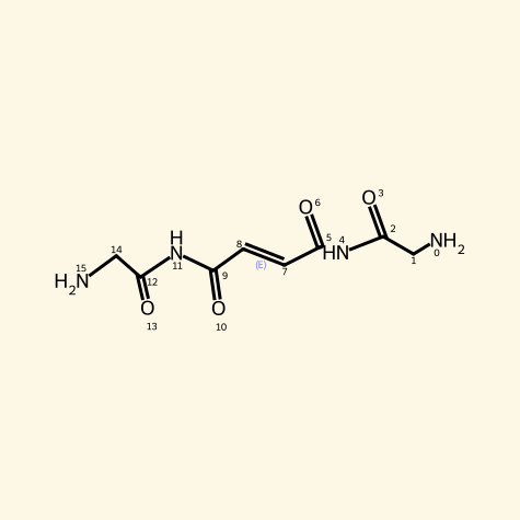 NCC(=O)NC(=O)/C=C/C(=O)NC(=O)CN